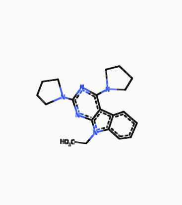 O=C(O)Cn1c2ccccc2c2c(N3CCCC3)nc(N3CCCC3)nc21